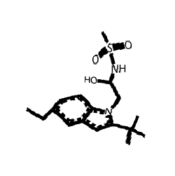 CCc1ccc2c(c1)cc(C(C)(C)C)n2CC(O)NS(C)(=O)=O